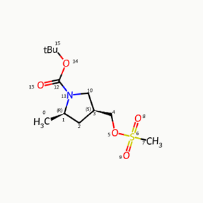 C[C@@H]1C[C@H](COS(C)(=O)=O)CN1C(=O)OC(C)(C)C